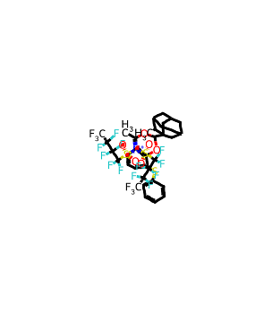 CC(OC(Oc1ccccc1Sc1ccccc1)C12CC3CC(CC(C3)C1C)C2)=[N+](S(=O)(=O)C(F)(F)C(F)(F)C(F)(F)C(F)(F)F)S(=O)(=O)C(F)(F)C(F)(F)C(F)(F)C(F)(F)F